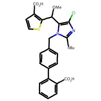 CCCCc1nc(Cl)c(C(OC)c2sccc2C(=O)O)n1Cc1ccc(-c2ccccc2C(=O)O)cc1